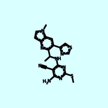 CSc1nc(N)c(C#N)c(NC(C)c2nc3ccn(C)c3cc2-c2cscn2)n1